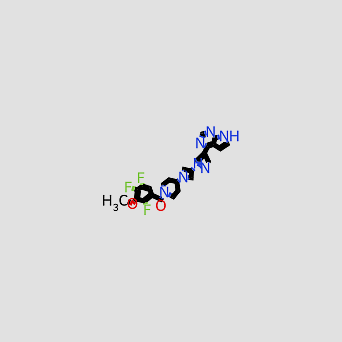 COc1c(F)c(F)cc(C(=O)N2CCC(N3CC(n4cc(-c5ncnc6[nH]ccc56)cn4)C3)CC2)c1F